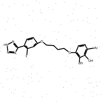 CCCc1c(OCCCCOc2ccc(-c3nn[nH]n3)c(F)c2)ccc(C(C)=O)c1O